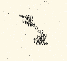 CCO[C@H]1C[C@@H](c2ncc(-c3ccc(-c4ccc5cc(-c6cnc([C@@H]7CCCN7C(=O)[C@@H](NC(=O)OC)C(C)C)[nH]6)ccc5c4)cc3)[nH]2)N(C(=O)[C@H](NC(=O)OC)c2ccccc2)C1